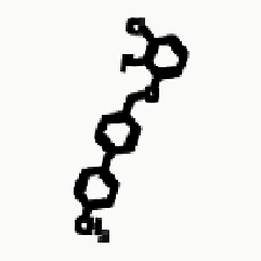 Cc1ccc(-c2ccc(COc3cccc(Cl)c3F)cc2)cc1